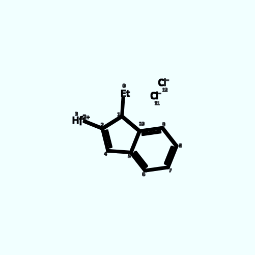 CCC1[C]([Hf+2])=Cc2ccccc21.[Cl-].[Cl-]